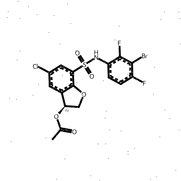 CC(=O)O[C@@H]1COc2c1cc(Cl)cc2S(=O)(=O)Nc1ccc(F)c(Br)c1F